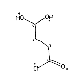 O=C(Cl)CCC(O)O